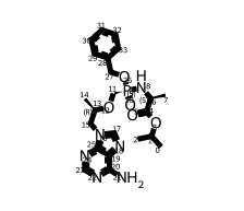 CC(C)OC(=O)[C@H](C)N[P@](=O)(CO[C@H](C)Cn1cnc2c(N)ncnc21)OCc1ccccc1